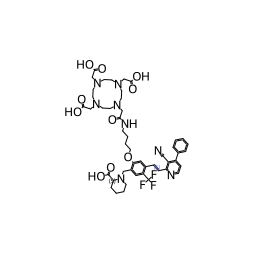 N#Cc1c(-c2ccccc2)ccnc1/C=C/c1cc(OCCCCNC(=O)CN2CCN(CC(=O)O)CCN(CC(=O)O)CCN(CC(=O)O)CC2)c(CN2CCCC[C@H]2C(=O)O)cc1C(F)(F)F